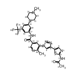 CC(=O)Nc1ncc(-c2cn(-c3cc(C(=O)Nc4cc(N5CCN(C)CC5)cc(C(F)(F)F)c4)cnc3C)nn2)s1